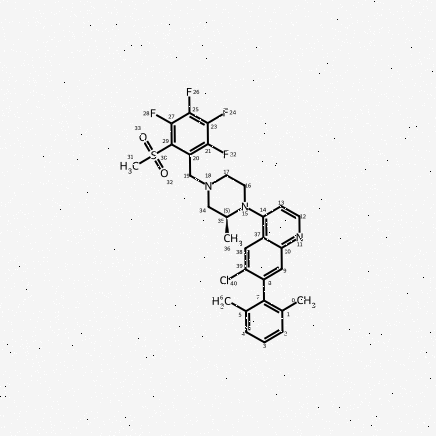 Cc1cccc(C)c1-c1cc2nccc(N3CCN(Cc4c(F)c(F)c(F)c(F)c4S(C)(=O)=O)C[C@@H]3C)c2cc1Cl